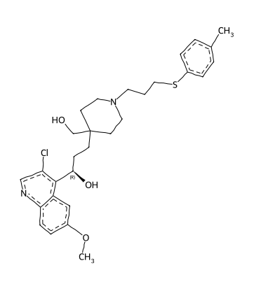 COc1ccc2ncc(Cl)c([C@H](O)CCC3(CO)CCN(CCCSc4ccc(C)cc4)CC3)c2c1